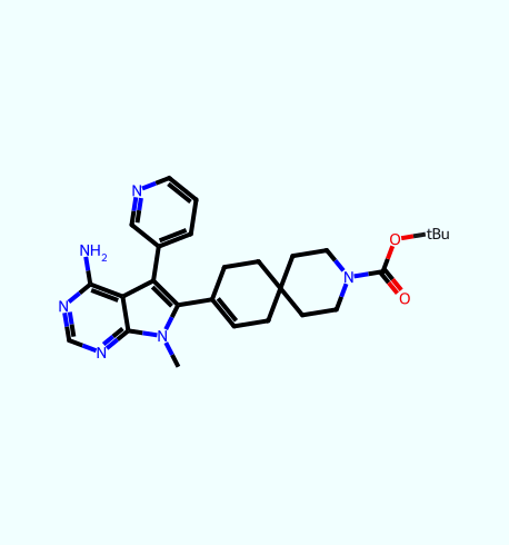 Cn1c(C2=CCC3(CC2)CCN(C(=O)OC(C)(C)C)CC3)c(-c2cccnc2)c2c(N)ncnc21